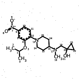 CC(C)Oc1cc([N+](=O)[O-])ccc1N1CCC(N(C)CC2(O)CC2)CC1